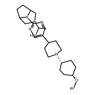 CC(C)O[C@H]1CC[C@H](N2CCC(c3cnc(N4C5CCC4CN(C(C)I)C5)nc3)CC2)CC1